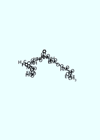 CCC(C)(CC)C1CC(=O)N(CCC(=O)NCCOCCOCCC(=O)NCC(=O)NCC(=O)N[C@@H](Cc2ccccc2)C(=O)NCC(=O)NCCCC(=O)N[C@H]2CCc3c(C)c(F)cc4nc5c(c2c34)Cn2c-5cc3c(c2=O)COC(=O)[C@]3(O)CC)C1=O